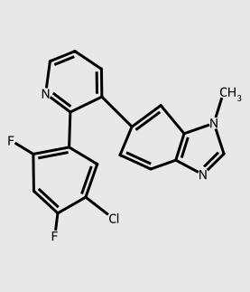 Cn1cnc2ccc(-c3cccnc3-c3cc(Cl)c(F)cc3F)cc21